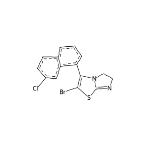 Clc1ccc2cccc(C3=C(Br)SC4=NCCN43)c2c1